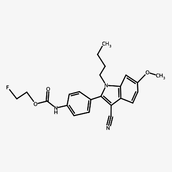 CCCCn1c(-c2ccc(NC(=O)OCCF)cc2)c(C#N)c2ccc(OC)cc21